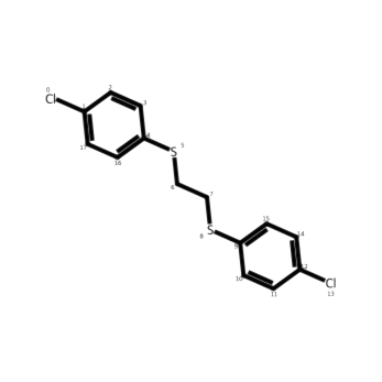 Clc1ccc(SCCSc2ccc(Cl)cc2)cc1